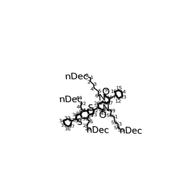 CCCCCCCCCCCCCCCCn1c(=O)c(-c2ccccc2)cc2c1cc(-c1cc3c(CCCCCCCCCCCC)c4sc(-c5ccccc5)cc4c(CCCCCCCCCCCC)c3s1)c(=O)n2CCCCCCCCCCCCCCCC